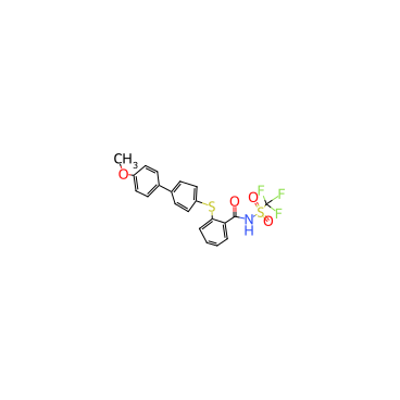 COc1ccc(-c2ccc(Sc3ccccc3C(=O)NS(=O)(=O)C(F)(F)F)cc2)cc1